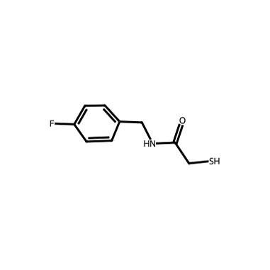 O=C(CS)NCc1ccc(F)cc1